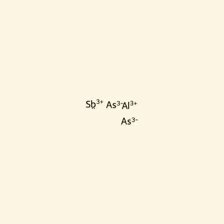 [Al+3].[As-3].[As-3].[Sb+3]